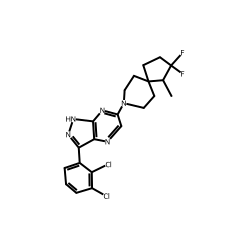 CC1C(F)(F)CCC12CCN(c1cnc3c(-c4cccc(Cl)c4Cl)n[nH]c3n1)CC2